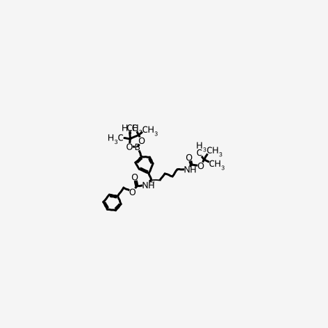 CC(C)(C)OC(=O)NCCCC[C@@H](NC(=O)OCc1ccccc1)c1ccc(B2OC(C)(C)C(C)(C)O2)cc1